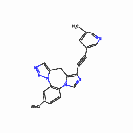 COc1ccc2c(c1)-n1nncc1Cc1c(C#Cc3cncc(C)c3)ncn1-2